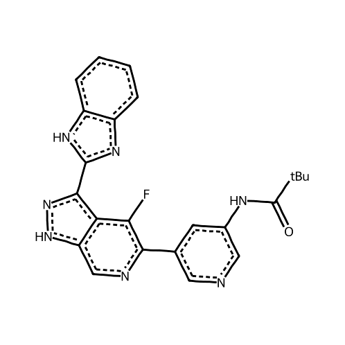 CC(C)(C)C(=O)Nc1cncc(-c2ncc3[nH]nc(-c4nc5ccccc5[nH]4)c3c2F)c1